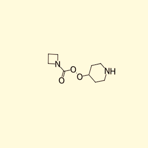 O=C(OOC1CCNCC1)N1CCC1